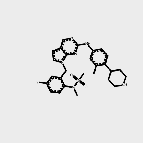 Cc1cc(Nc2ncc3ccn(Cc4cc(F)ccc4N(C)S(C)(=O)=O)c3n2)ccc1C1CCNCC1